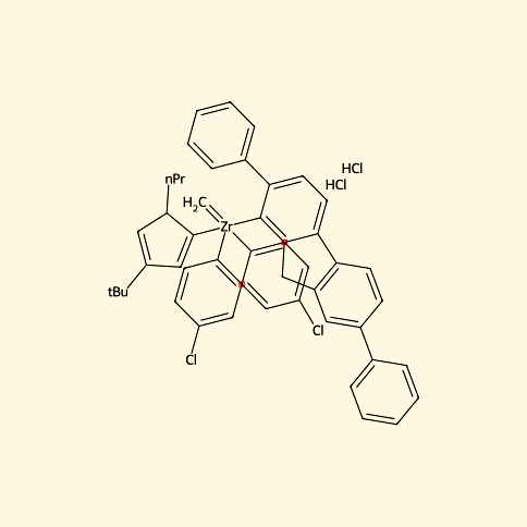 Cl.Cl.[CH2]=[Zr]([C]1=CC(C(C)(C)C)=CC1CCC)([c]1ccc(Cl)cc1)([c]1ccc(Cl)cc1)[c]1c(-c2ccccc2)ccc2c1Cc1cc(-c3ccccc3)ccc1-2